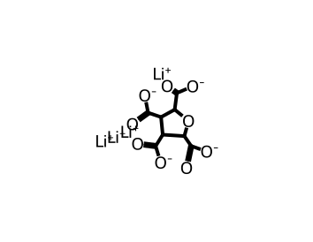 O=C([O-])C1OC(C(=O)[O-])C(C(=O)[O-])C1C(=O)[O-].[Li+].[Li+].[Li+].[Li+]